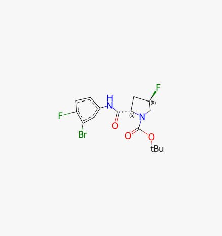 CC(C)(C)OC(=O)N1C[C@H](F)C[C@H]1C(=O)Nc1ccc(F)c(Br)c1